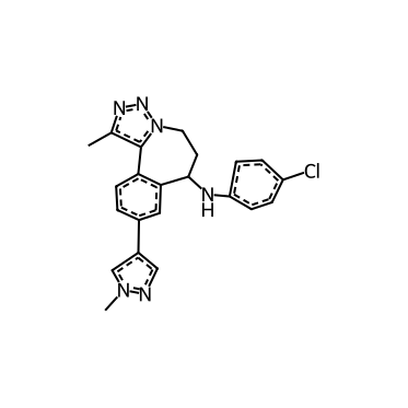 Cc1nnn2c1-c1ccc(-c3cnn(C)c3)cc1C(Nc1ccc(Cl)cc1)CC2